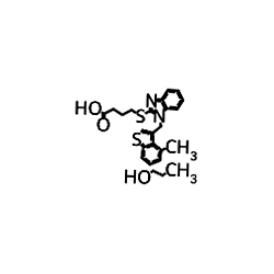 CCCO.Cc1cccc2scc(Cn3c(SCCCC(=O)O)nc4ccccc43)c12